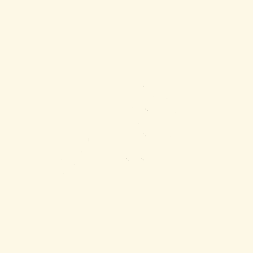 CC1(C)CC2(CS2)CN1c1nc(-n2ccc(OCCC3(C(F)(F)F)CC3)n2)ccc1C(=O)O